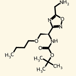 CCCCOC[C@H](NC(=O)OC(C)(C)C)c1noc(CN)n1